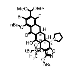 CCCCOc1noc2c1C(=O)[C@@]1(O[Si](C)(C)C(C)(C)C)C(O)=C3C(=O)c4c(c(F)c(C(OC)OC)c(Br)c4OCCCC)C[C@H]3C[C@H]1[C@@H]2N1CCCC1